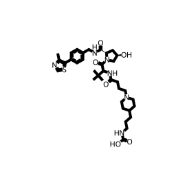 Cc1ncsc1-c1ccc(CNC(=O)[C@@H]2C[C@@H](O)CN2C(=O)C(NC(=O)CCCN2CCC(CCCNC(=O)O)CC2)C(C)(C)C)cc1